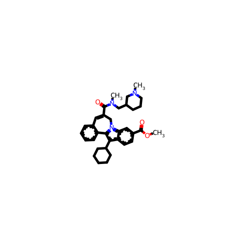 COC(=O)c1ccc2c(C3CCCCC3)c3n(c2c1)CC(C(=O)N(C)CC1CCCN(C)C1)=Cc1ccccc1-3